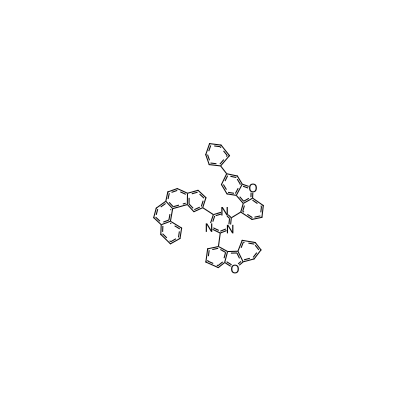 c1ccc(-c2ccc3c(c2)oc2cccc(-c4nc(-c5ccc6ccc7ccc8ccccc8c7c6c5)nc(-c5cccc6oc7ccccc7c56)n4)c23)cc1